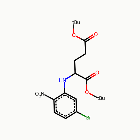 CC(C)(C)OC(=O)CCC(Nc1cc(Br)ccc1[N+](=O)[O-])C(=O)OC(C)(C)C